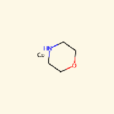 C1COCCN1.[Co]